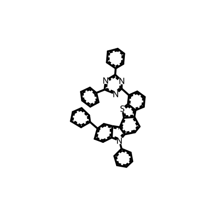 c1ccc(-c2ccc3c(c2)c2c4sc5c(-c6nc(-c7ccccc7)nc(-c7ccccc7)n6)cccc5c4ccc2n3-c2ccccc2)cc1